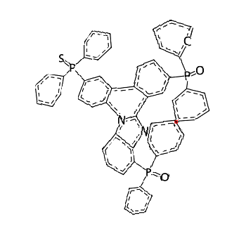 O=P(c1ccccc1)(c1ccccc1)c1ccc2c3cc(P(=S)(c4ccccc4)c4ccccc4)ccc3n3c4cccc(P(=O)(c5ccccc5)c5ccccc5)c4nc3c2c1